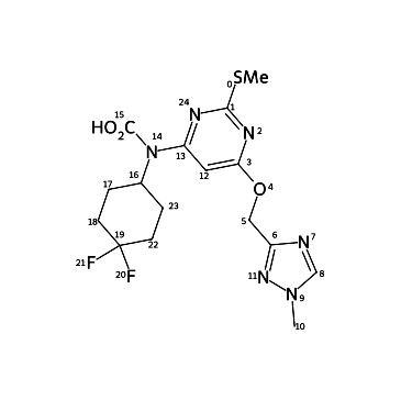 CSc1nc(OCc2ncn(C)n2)cc(N(C(=O)O)C2CCC(F)(F)CC2)n1